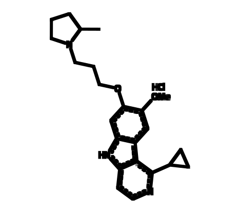 COc1cc2c(cc1OCCCN1CCCC1C)[nH]c1ccnc(C3CC3)c12.Cl